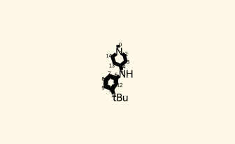 CN1CCC(Nc2cccc(C(C)(C)C)c2)CC1